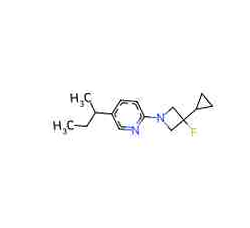 CCC(C)c1ccc(N2CC(F)(C3CC3)C2)nc1